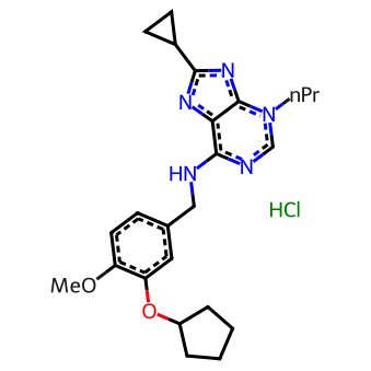 CCCn1cnc(NCc2ccc(OC)c(OC3CCCC3)c2)c2nc(C3CC3)nc1-2.Cl